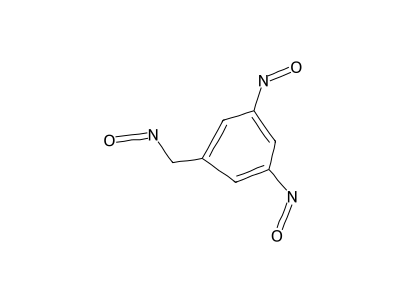 O=NCc1cc(N=O)cc(N=O)c1